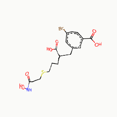 O=C(CSCCCC(Cc1cc(Br)cc(C(=O)O)c1)C(=O)O)NO